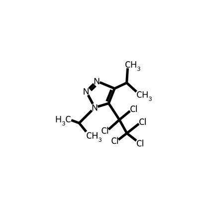 CC(C)c1nnn(C(C)C)c1C(Cl)(Cl)C(Cl)(Cl)Cl